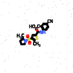 Cc1sc(C(=O)Nc2ccc(C#N)cc2C(=O)O)cc1S(=O)(=O)N1CCCC1C